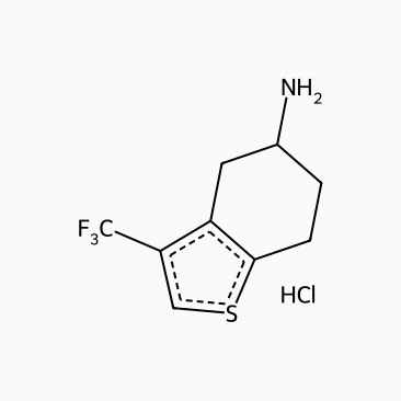 Cl.NC1CCc2scc(C(F)(F)F)c2C1